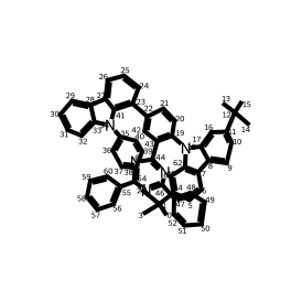 CC(C)(C)c1ccc2c3ccc(C(C)(C)C)cc3n(-c3ccc(-c4cccc5c6ccccc6n(-c6ccccc6)c45)cc3-c3nc(-c4ccccc4)nc(-c4ccccc4)n3)c2c1